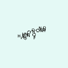 BN1CCCC1c1nc2cc(C3CCC(c4ccc5[nH]c(C6CCCN6C)nc5c4)N3c3ccc(F)cc3)ccc2[nH]1